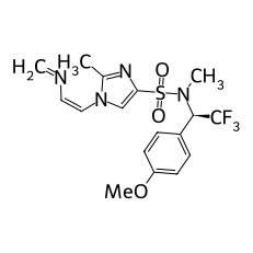 C=N/C=C\n1cc(S(=O)(=O)N(C)[C@H](c2ccc(OC)cc2)C(F)(F)F)nc1C